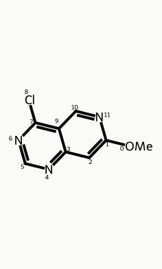 COc1cc2ncnc(Cl)c2cn1